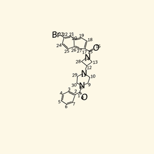 O=C(c1ccccc1)N1CCN(C2CN(C(=O)c3ccc4cc(Br)ccc4c3)C2)CC1